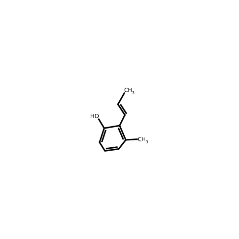 CC=Cc1c(C)cccc1O